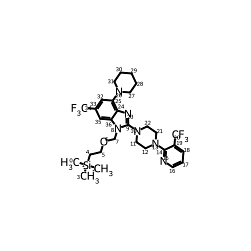 C[Si](C)(C)CCOCn1c(N2CCN(c3ncccc3C(F)(F)F)CC2)nc2c(N3CCCCC3)cc(C(F)(F)F)cc21